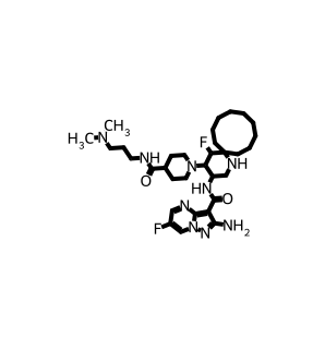 CN(C)CCCNC(=O)C1CCN(C2C(NC(=O)c3c(N)nn4cc(F)cnc34)CNC3(CCCCCCCCC3)C2F)CC1